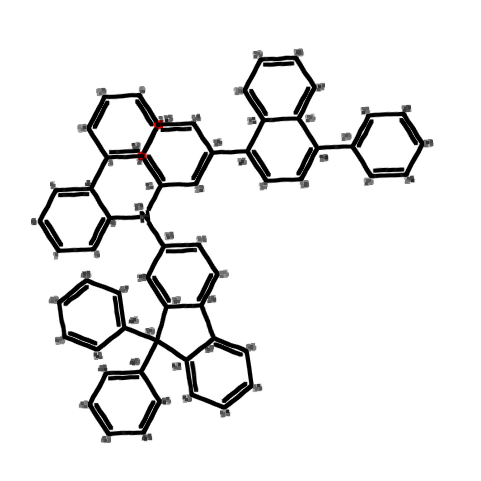 c1ccc(-c2ccccc2N(c2cccc(-c3ccc(-c4ccccc4)c4ccccc34)c2)c2ccc3c(c2)C(c2ccccc2)(c2ccccc2)c2ccccc2-3)cc1